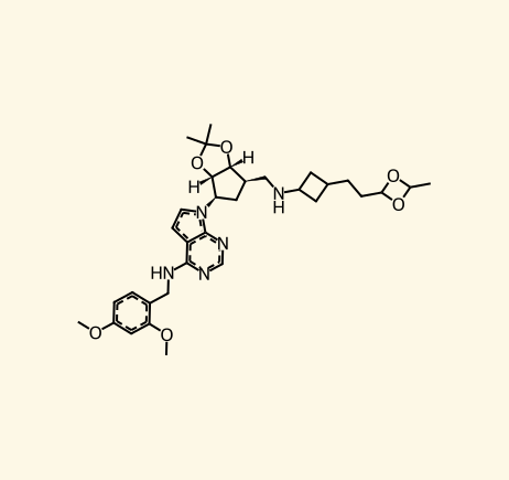 COc1ccc(CNc2ncnc3c2ccn3[C@@H]2C[C@H](CNC3CC(CCC4OC(C)O4)C3)[C@H]3OC(C)(C)O[C@H]32)c(OC)c1